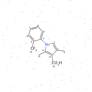 Cc1cn(-c2ccccc2C(F)(F)F)c(C)c1C(=O)O